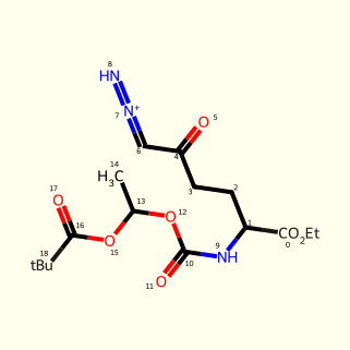 CCOC(=O)C(CCC(=O)C=[N+]=N)NC(=O)OC(C)OC(=O)C(C)(C)C